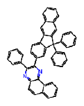 c1ccc(-c2nc3ccc4ccccc4c3nc2-c2ccc3c(c2)C(c2ccccc2)(c2ccccc2)c2cc4ccccc4cc2-3)cc1